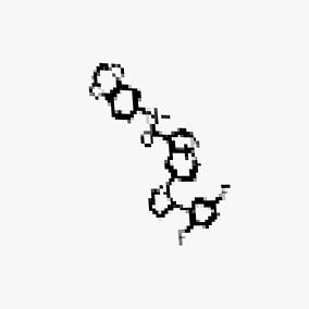 O=C(Nc1ccc2c(c1)OCCO2)c1cnn2ccc(N3CCC[C@@H]3c3cc(F)ccc3F)cc12